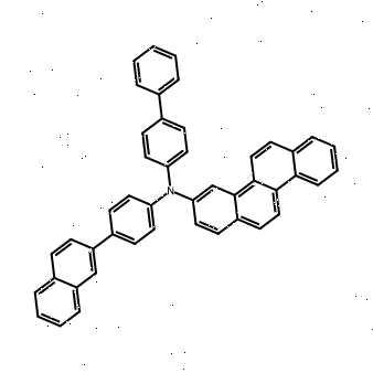 c1ccc(-c2ccc(N(c3ccc(-c4ccc5ccccc5c4)cc3)c3ccc4ccc5c6ccccc6ccc5c4c3)cc2)cc1